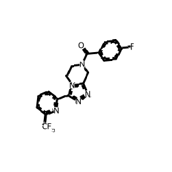 O=C(c1ccc(F)cc1)N1CCn2c(nnc2-c2cccc(C(F)(F)F)n2)C1